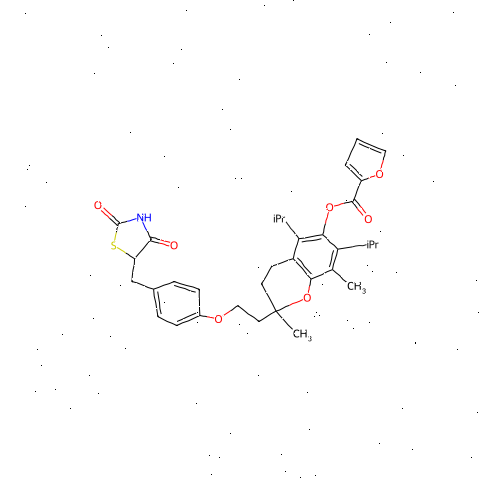 Cc1c2c(c(C(C)C)c(OC(=O)c3ccco3)c1C(C)C)CCC(C)(CCOc1ccc(CC3SC(=O)NC3=O)cc1)O2